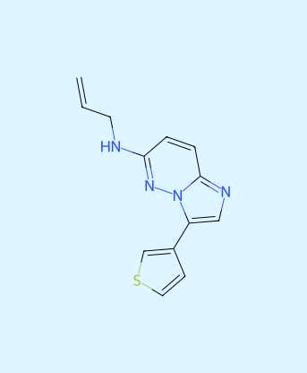 C=CCNc1ccc2ncc(-c3ccsc3)n2n1